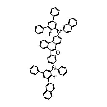 Fc1c(-c2ccc3ccccc3c2)cc(-c2ccccc2)cc1N(c1ccccc1)c1ccc2c(c1)oc1c3ccc(N(c4ccc5ccccc5c4)c4cc(-c5ccccc5)cc(-c5ccccc5)c4F)cc3c3ccccc3c21